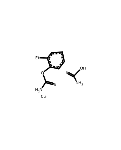 CCc1ccccc1OC(N)=S.NC(O)=S.[Cu]